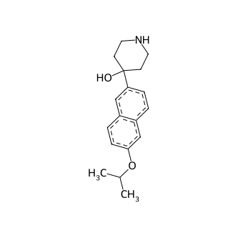 CC(C)Oc1ccc2cc(C3(O)CCNCC3)ccc2c1